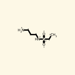 CCS(=O)(=O)NCCCN